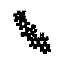 CC(Nc1cc(CN2C(=O)N(c3ccc(C4(C(F)(F)F)CC4)cc3)C(=O)C2(C)C)ccn1)c1cnccn1